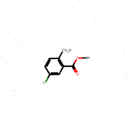 CC(C)OC(=O)c1cc(Cl)ccc1C(=O)O